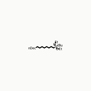 CCCCCCCCCCCCCCCCCC[Si](OCC)(OCC)C(C)(C)C